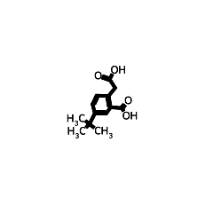 CC(C)(C)c1ccc(CC(=O)O)c(C(=O)O)c1